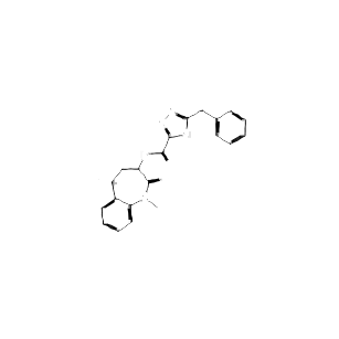 CN1C(=O)C(NC(=O)c2nnc(Cc3ccccc3)[nH]2)C[C@@H](F)c2ccccc21